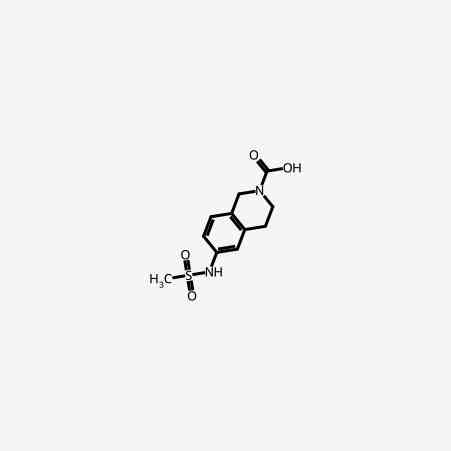 CS(=O)(=O)Nc1ccc2c(c1)CCN(C(=O)O)C2